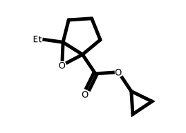 CCC12CCCC1(C(=O)OC1CC1)O2